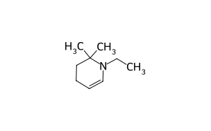 CCN1C=CCCC1(C)C